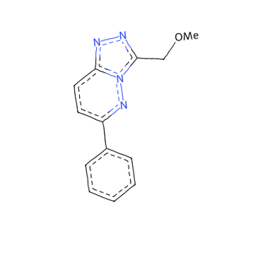 COCc1nnc2ccc(-c3ccccc3)nn12